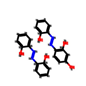 Oc1ccc(N=Nc2ccccc2O)c(O)c1.Oc1ccccc1N=Nc1ccccc1O